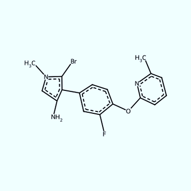 Cc1cccc(Oc2ccc(-c3c(N)cn(C)c3Br)cc2F)n1